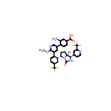 COc1ncc(-c2ccc(C(=O)O)cc2C)cc1C1=CC=C(C(F)(F)F)CC1[C@@H]1CC[C@H]2[C@@H](c3ccnc(C(F)(F)F)c3)NC(=O)N12